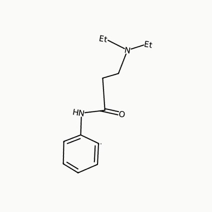 CCN(CC)CCC(=O)Nc1[c]cccc1